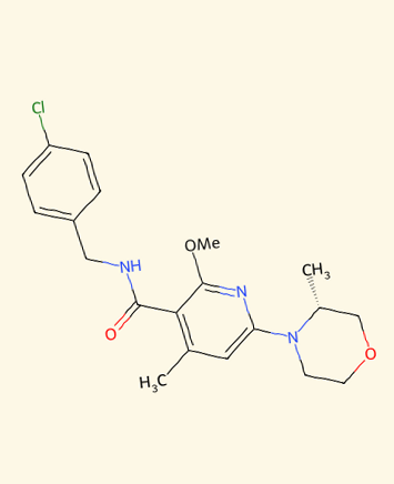 COc1nc(N2CCOC[C@H]2C)cc(C)c1C(=O)NCc1ccc(Cl)cc1